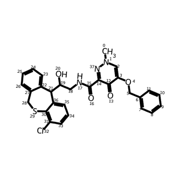 Cn1cc(OCc2ccccc2)c(=O)c(C(=O)NCC(O)C2c3ccccc3CSc3c(Cl)cccc32)n1